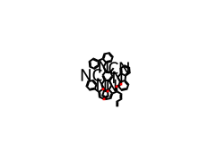 C=C/C=C\c1c(C)n(-c2c(-n3c4ccccc4c4ccccc43)c(C#N)c(-n3c4ccccc4c4ccccc43)c(C#N)c2-n2c3ccccc3c3ccccc32)c2ccccc12